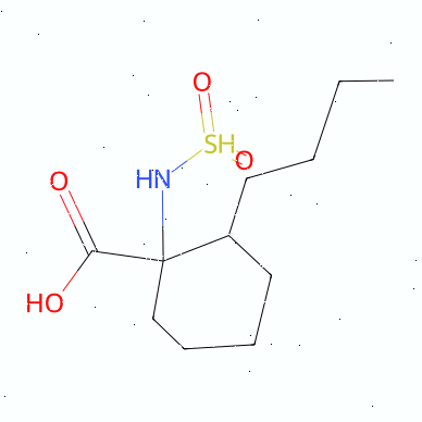 CCCCC1CCCCC1(N[SH](=O)=O)C(=O)O